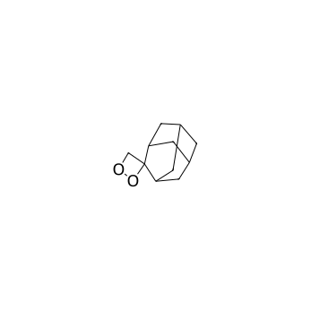 C1C2CC3CC1CC(C2)C31COO1